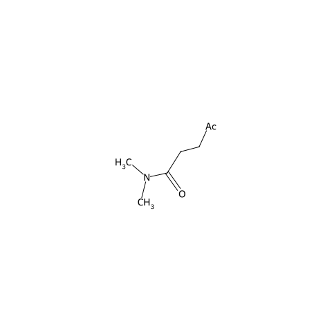 CC(=O)CCC(=O)N(C)C